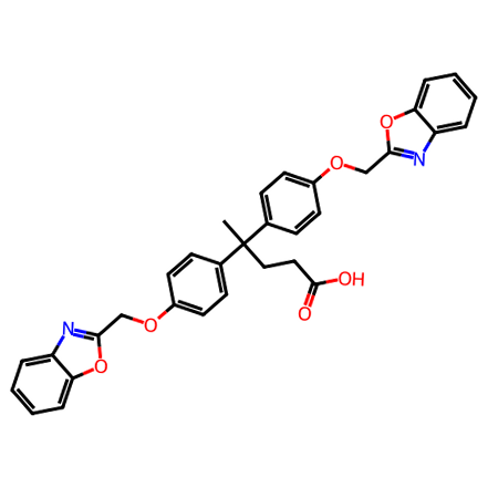 CC(CCC(=O)O)(c1ccc(OCc2nc3ccccc3o2)cc1)c1ccc(OCc2nc3ccccc3o2)cc1